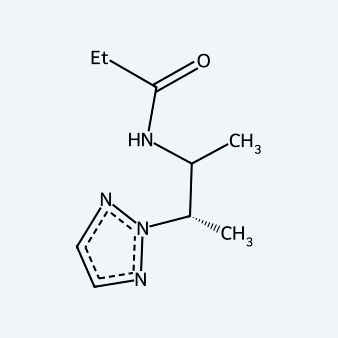 CCC(=O)NC(C)[C@H](C)n1nccn1